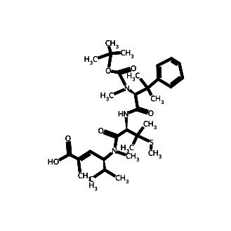 CSC(C)(C)[C@H](NC(=O)[C@@H](N(C)C(=O)OC(C)(C)C)C(C)(C)c1ccccc1)C(=O)N(C)[C@H](C=C(C)C(=O)O)C(C)C